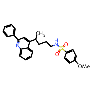 COc1ccc(S(=O)(=O)NCCCC(C)c2cc(-c3ccccc3)nc3ccccc23)cc1